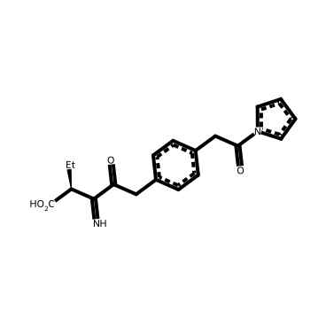 CC[C@@H](C(=N)C(=O)Cc1ccc(CC(=O)n2cccc2)cc1)C(=O)O